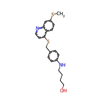 CSc1ccc2c(SCc3ccc(NCCCCO)cc3)ccnc2c1